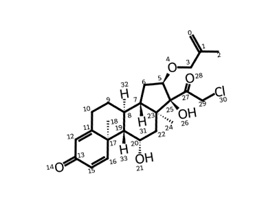 C=C(C)CO[C@@H]1C[C@H]2[C@@H]3CCC4=CC(=O)C=C[C@]4(C)[C@H]3[C@@H](O)C[C@]2(C)[C@@]1(O)C(=O)CCl